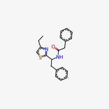 CCc1csc(C(Cc2cc[c]cc2)NC(=O)Cc2ccccc2)n1